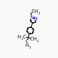 CCn1cc(-c2ccc(C(C)(C)C)cc2)cn1